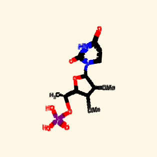 COC1C(OC)C(n2ccc(=O)[nH]c2=O)OC1[C@@H](C)OP(=O)(O)O